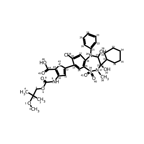 COC(C)(C)COC(=O)Nc1cc(-c2cc3c(cc2Cl)N(c2ccccc2)C(O)[C@](O)(C2CCCCC2)N(C)S3(=O)=O)sc1C(=O)O